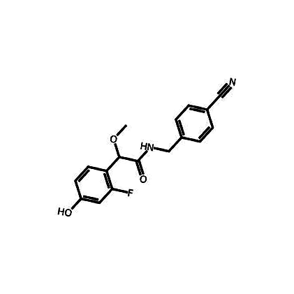 COC(C(=O)NCc1ccc(C#N)cc1)c1ccc(O)cc1F